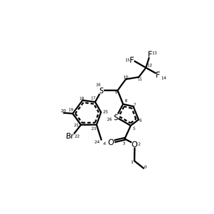 CCOC(=O)c1ccc(C(CCC(F)(F)F)Sc2cc(C)c(Br)c(C)c2)s1